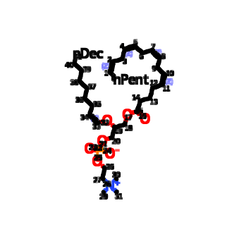 CCCCC/C=C\C/C=C\C/C=C\C/C=C\CCCC(=O)OCC(COP(=O)([O-])OCC[N+](C)(C)C)O/C=C\CCCCCCCCCCCCCCCC